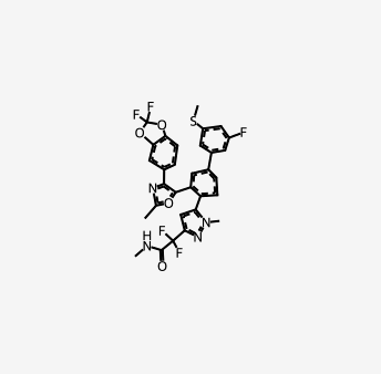 CNC(=O)C(F)(F)c1cc(-c2ccc(-c3cc(F)cc(SC)c3)cc2-c2oc(C)nc2-c2ccc3c(c2)OC(F)(F)O3)n(C)n1